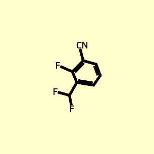 N#Cc1cccc(C(F)F)c1F